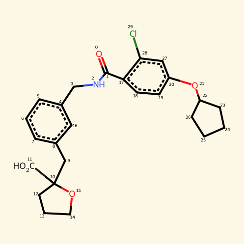 O=C(NCc1cccc(CC2(C(=O)O)CCCO2)c1)c1ccc(OC2CCCC2)cc1Cl